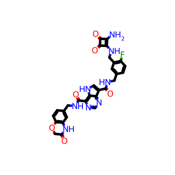 Nc1c(NCc2cc(CNC(=O)c3c[nH]c4c(C(=O)NCc5ccc6c(c5)NC(=O)CO6)ncnc34)ccc2F)c(=O)c1=O